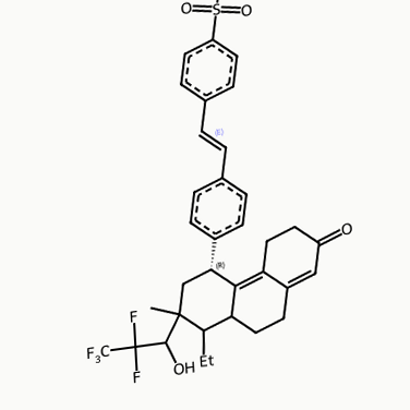 CCC1C2CCC3=CC(=O)CCC3=C2[C@@H](c2ccc(/C=C/c3ccc(S(C)(=O)=O)cc3)cc2)CC1(C)C(O)C(F)(F)C(F)(F)F